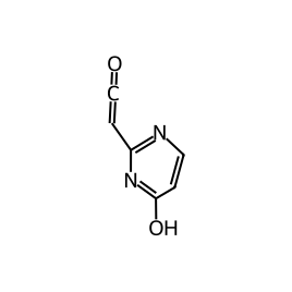 O=C=Cc1nccc(O)n1